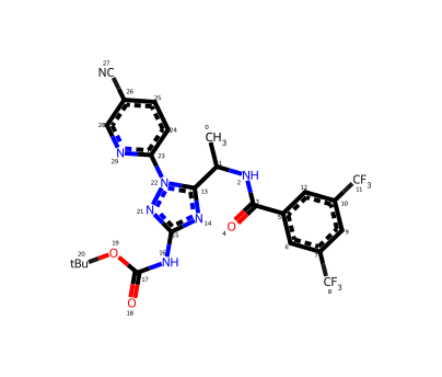 CC(NC(=O)c1cc(C(F)(F)F)cc(C(F)(F)F)c1)c1nc(NC(=O)OC(C)(C)C)nn1-c1ccc(C#N)cn1